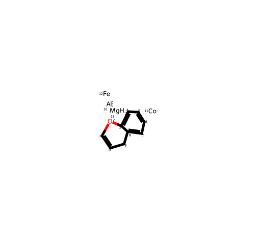 C1=COc2ccccc2C1.[Al].[Co].[Fe].[MgH2]